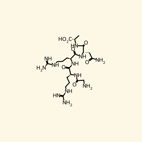 C[C@H](NC(=O)[C@H](CC(N)=O)NC(=O)[C@H](CCCNC(=N)N)NC(=O)[C@H](CCCNC(=N)N)NC(=O)CN)C(=O)O